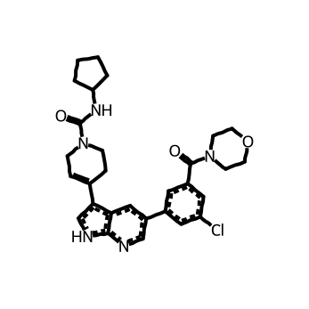 O=C(NC1CCCC1)N1CC=C(c2c[nH]c3ncc(-c4cc(Cl)cc(C(=O)N5CCOCC5)c4)cc23)CC1